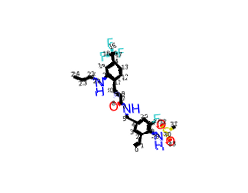 C=Cc1cc(CNC(=O)/C=C/c2ccc(C(F)(F)F)cc2NCCC)cc(F)c1NS(C)(=O)=O